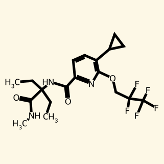 CCC(CC)(NC(=O)c1ccc(C2CC2)c(OCC(F)(F)C(F)(F)F)n1)C(=O)NC